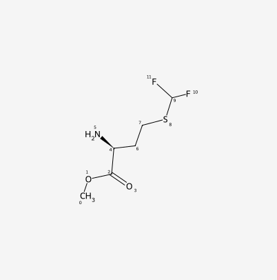 COC(=O)[C@@H](N)CCSC(F)F